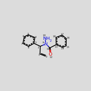 C=CC(c1ccccc1)N(N)C(=O)c1ccccc1